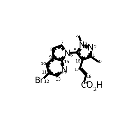 Cc1nn(C)c(-n2ccc3cc(Br)cnc32)c1C=CC(=O)O